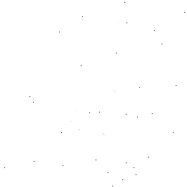 CCOCCCNC(c1cnc(NC2(c3ccc4c(c3)OCO4)CC2)s1)c1ccccc1Cl